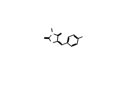 CN1C(=O)/C(=C\c2ccc(C=O)cc2)SC1=S